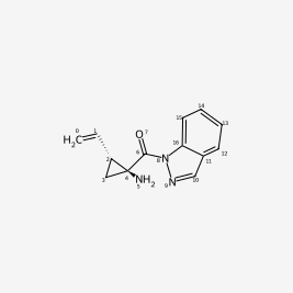 C=C[C@H]1C[C@@]1(N)C(=O)n1ncc2ccccc21